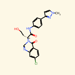 Cn1ccc(-c2ccc(NC(=O)[C@@H](CCO)n3cnc4cc(Cl)ccc4c3=O)cc2)n1